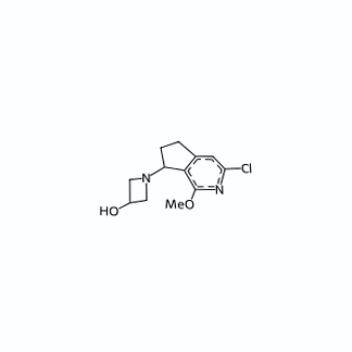 COc1nc(Cl)cc2c1C(N1CC(O)C1)CC2